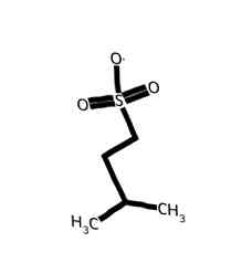 CC(C)CCS([O])(=O)=O